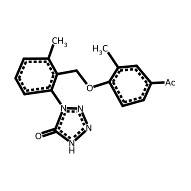 CC(=O)c1ccc(OCc2c(C)cccc2-n2nn[nH]c2=O)c(C)c1